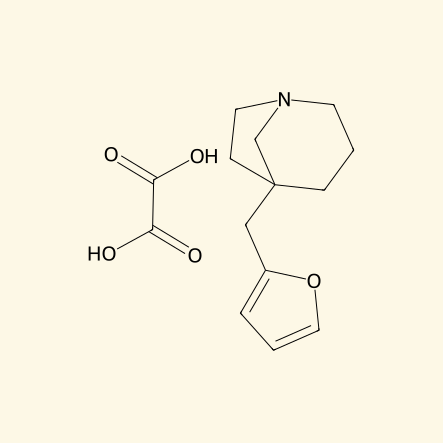 O=C(O)C(=O)O.c1coc(CC23CCCN(CC2)C3)c1